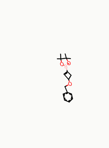 CC1(C)OB(C2=CC(OCc3ccccc3)C2)OC1(C)C